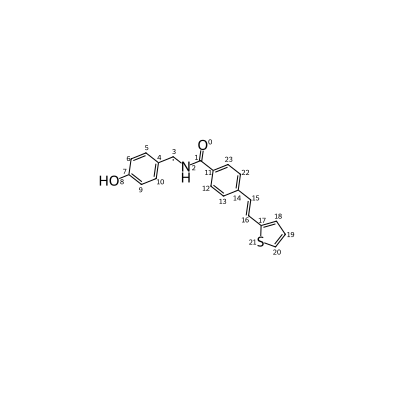 O=C(N[CH]c1ccc(O)cc1)c1ccc(C=Cc2cccs2)cc1